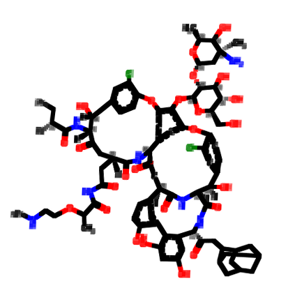 CCCNCCOC(C)C(=O)NC(=O)C[C@@H]1CC(=O)[C@H](NC(=O)[C@H](CC)CC(C)C)[C@H](O)c2ccc(c(Cl)c2)Oc2cc3cc(c2O[C@@H]2O[C@H](CO)[C@@H](O)[C@H](O)[C@H]2O[C@H]2C[C@](C)(N)[C@H](O)[C@H](C)O2)Oc2ccc(cc2Cl)[C@@H](O)[C@@H]2NC(=O)[C@H](CC(=O)[C@@H]3NC1=O)c1ccc(O)c(c1)-c1c(O)cc(O)cc1[C@@H](C(=O)CC1C3CC4CC(C3)CC1C4)NC2=O